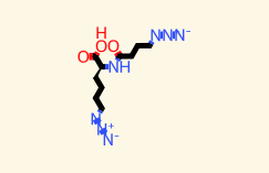 [N-]=[N+]=NCCCC[C@H](NC(=O)CCCN=[N+]=[N-])C(=O)O